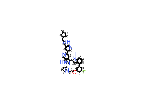 Fc1cc(OCCN2CCCC2)cc(-c2cccc3[nH]c(-c4n[nH]c5cnc(-c6cncc(CNCC7CCCC7)c6)cc45)cc23)c1